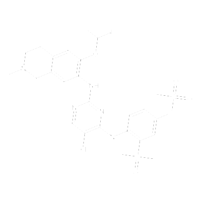 CN1CCc2cc(OC(F)F)c(Nc3ncc(Cl)c(Nc4ccc(OS(=O)(=O)F)cc4P(C)(C)=O)n3)cc2C1